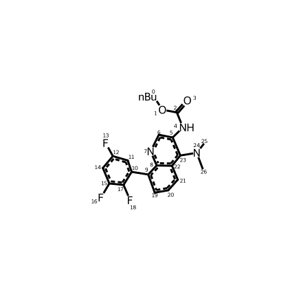 CCCCOC(=O)Nc1cnc2c(-c3cc(F)cc(F)c3F)cccc2c1N(C)C